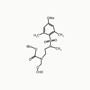 COc1cc(C)c(S(=O)(=O)N(C)CCN(COC=O)C(=O)OC(C)(C)C)c(C)c1